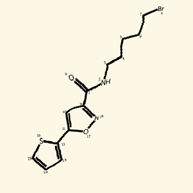 O=C(NCCCCCBr)c1cc(-c2cccs2)on1